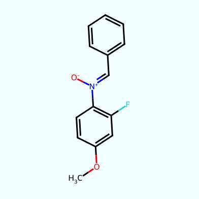 COc1ccc([N+]([O-])=Cc2ccccc2)c(F)c1